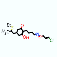 CCSC(C)CC1CC(=O)C(CCCC=NOCC=CCl)=C(O)C1